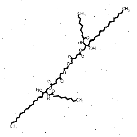 CCCCCCCCCCCCC/C=C/C(O)C(COC(=O)CCC(=O)COCCOCC(=O)CCC(=O)OCC(NC(=O)CCCCCCCC)C(O)/C=C/CCCCCCCCCCCCC)NC(=O)CCCCCCCC